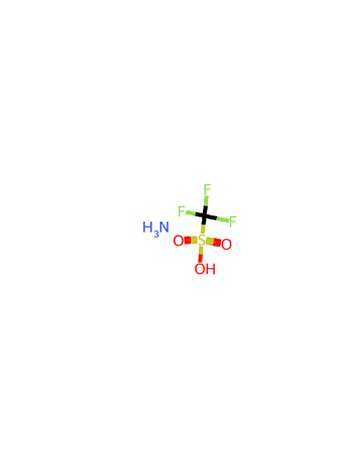 N.O=S(=O)(O)C(F)(F)F